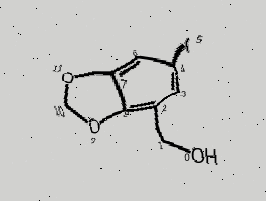 OCc1cc(I)cc2c1OCO2